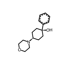 O[C@]1(c2ccccc2)CC[C@H](N2CCOCC2)CC1